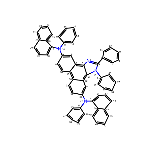 c1ccc(-c2nc3c4cc(N(c5ccccc5)c5cccc6ccccc56)ccc4c4ccc(N(c5ccccc5)c5cccc6ccccc56)cc4c3n2-c2ccccc2)cc1